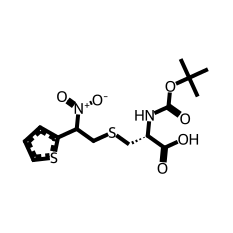 CC(C)(C)OC(=O)N[C@@H](CSCC(c1cccs1)[N+](=O)[O-])C(=O)O